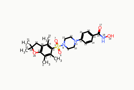 Cc1c(C)c(S(=O)(=O)N2CCN(c3ccc(C(=O)NO)cc3)CC2)c(C)c2c1OC(C)(C)C2